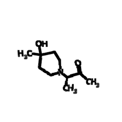 CC(=O)[C@@H](C)N1CCC(C)(O)CC1